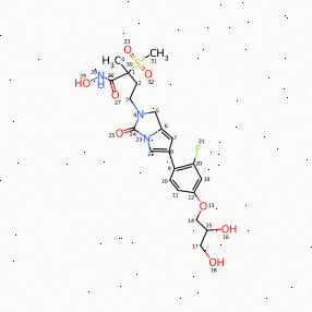 CC(CCN1Cc2cc(-c3ccc(OCC(O)CO)cc3F)cn2C1=O)(C(=O)NO)S(C)(=O)=O